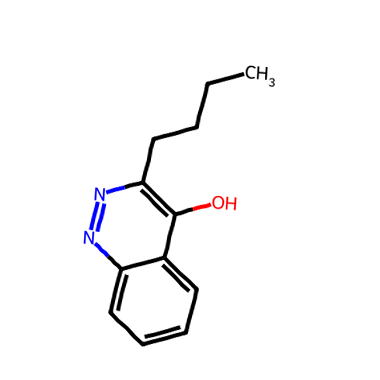 CCCCc1nnc2ccccc2c1O